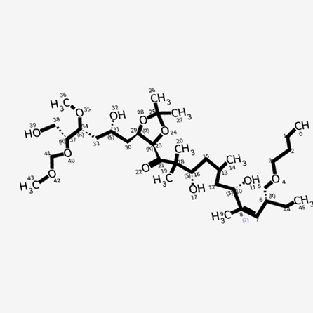 CCCCOC[C@@H](/C=C(/C)[C@@H](O)CC(C)C[C@H](O)C(C)(C)C(=O)[C@@H]1OC(C)(C)O[C@@H]1C[C@@H](O)C[C@@H](OC)[C@@H](CO)OCOC)CC